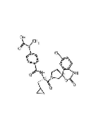 CN(C(=O)O)c1ccc(C(=O)N[C@@H](CC2CC2)C(=O)N2CC[C@]3(C2)OC(=O)Nc2ccc(Cl)cc23)cc1